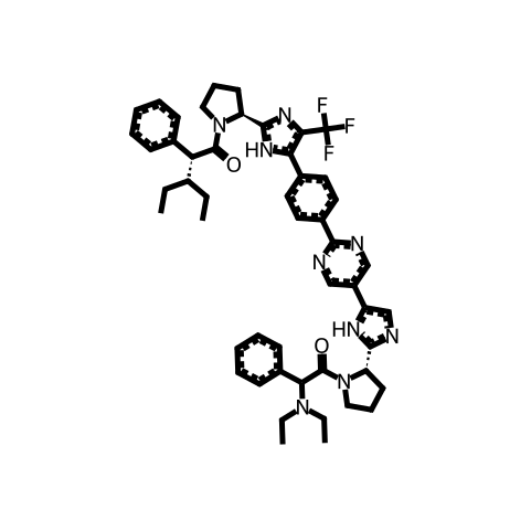 CCC(CC)[C@@H](C(=O)N1CCC[C@H]1c1nc(C(F)(F)F)c(-c2ccc(-c3ncc(-c4cnc([C@@H]5CCCN5C(=O)C(c5ccccc5)N(CC)CC)[nH]4)cn3)cc2)[nH]1)c1ccccc1